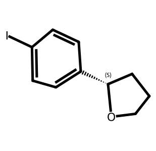 Ic1ccc([C@@H]2CCCO2)cc1